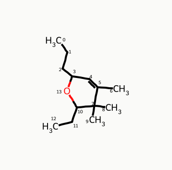 CCCC1C=C(C)C(C)(C)C(CC)O1